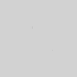 Cc1cccc2c1-c1ccccc1CCC2O